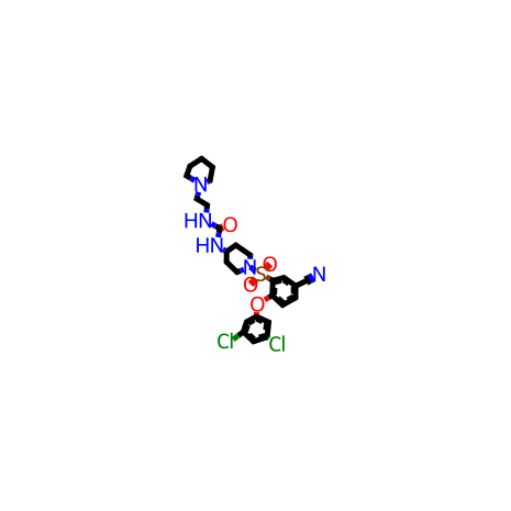 N#Cc1ccc(Oc2cc(Cl)cc(Cl)c2)c(S(=O)(=O)N2CCC(NC(=O)NCCN3CCCCC3)CC2)c1